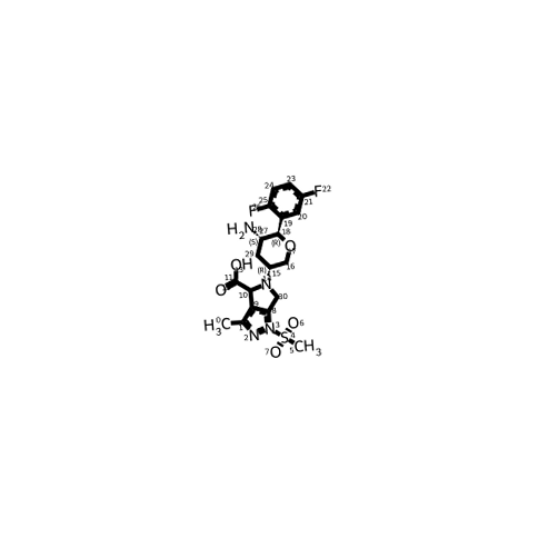 Cc1nn(S(C)(=O)=O)c2c1C(C(=O)O)N([C@H]1CO[C@H](c3cc(F)ccc3F)[C@@H](N)C1)C2